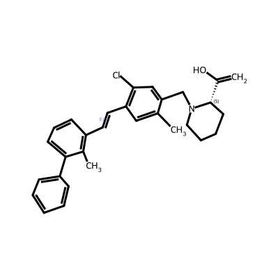 C=C(O)[C@@H]1CCCCN1Cc1cc(Cl)c(/C=C/c2cccc(-c3ccccc3)c2C)cc1C